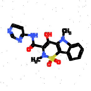 CN1C(C(=O)Nc2ccncn2)=C(O)c2c(c3ccccc3n2C)S1(=O)=O